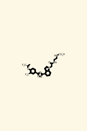 C[C@H](Oc1ccc(-c2nc(-c3cccc4c3ccn4CC(=O)NCCNC(=O)O)no2)cc1C(F)(F)F)C(F)(F)F